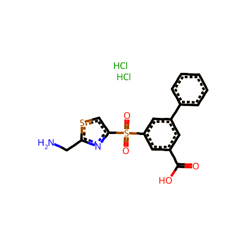 Cl.Cl.NCc1nc(S(=O)(=O)c2cc(C(=O)O)cc(-c3ccccc3)c2)cs1